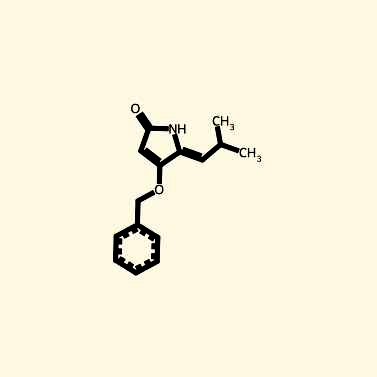 CC(C)C=C1NC(=O)C=C1OCc1ccccc1